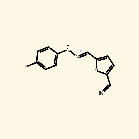 N=Cc1ccc(/C=N/Nc2ccc(F)cc2)o1